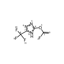 C=C(F)Oc1nnc(C(F)(F)F)[nH]1